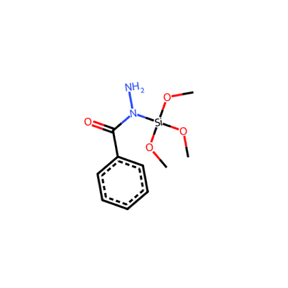 CO[Si](OC)(OC)N(N)C(=O)c1ccccc1